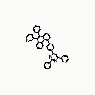 c1ccc(-c2cc(-c3ccc(-c4cccc5c(-c6ccccc6)c(-c6cccnc6)c6ccccc6c45)cc3)nc(-c3ccccc3)n2)cc1